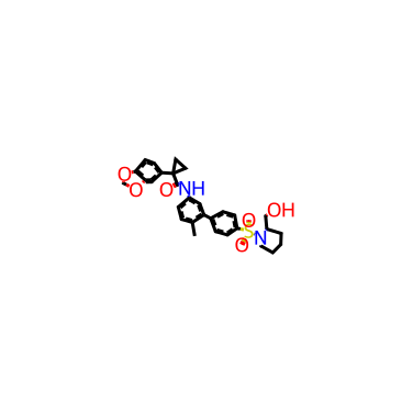 Cc1ccc(NC(=O)C2(c3ccc4c(c3)OCO4)CC2)cc1-c1ccc(S(=O)(=O)N2CCCCC2CO)cc1